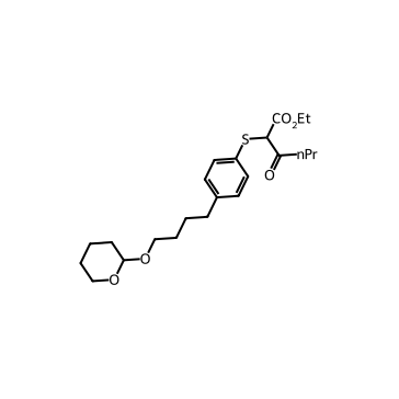 CCCC(=O)C(Sc1ccc(CCCCOC2CCCCO2)cc1)C(=O)OCC